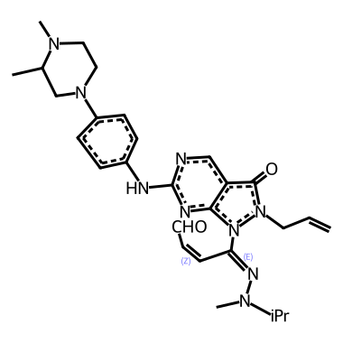 C=CCn1c(=O)c2cnc(Nc3ccc(N4CCN(C)C(C)C4)cc3)nc2n1C(/C=C\C=O)=N/N(C)C(C)C